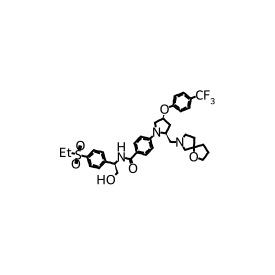 CCS(=O)(=O)c1ccc([C@H](CO)NC(=O)c2ccc(N3C[C@H](Oc4ccc(C(F)(F)F)cc4)C[C@H]3CN3CCC4(CCCO4)C3)cc2)cc1